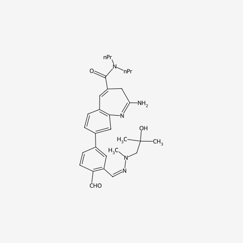 CCCN(CCC)C(=O)C1=Cc2ccc(-c3ccc(C=O)c(/C=N\N(C)CC(C)(C)O)c3)cc2N=C(N)C1